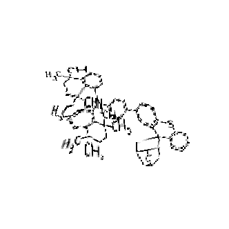 CC1(C)CCC(C)(C)c2c(N(c3ccc(-c4ccc5c(c4)C4(c6ccccc6S5)C5CC6CC7CC4C75C6)cc3)c3cccc4c3C(C)(C)CCC4(C)C)cccc21